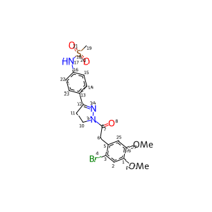 COc1cc(Br)c(CC(=O)N2CCC(c3ccc(NS(C)(=O)=O)cc3)=N2)cc1OC